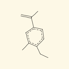 C=C(C)c1ccc(CC)c(C)c1